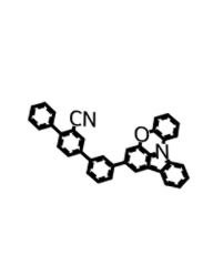 N#Cc1cc(-c2cccc(-c3cc4c5c(c3)c3ccccc3n5-c3ccccc3O4)c2)ccc1-c1ccccc1